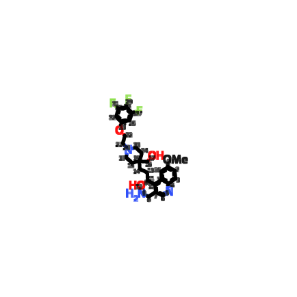 COc1ccc2ncc(CN)c([C@H](O)CCC3(CO)CCN(CCOc4cc(F)c(F)c(F)c4)CC3)c2c1